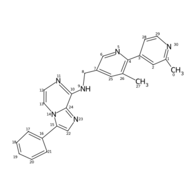 Cc1cc(-c2ncc(CNc3nccn4c(-c5ccccc5)cnc34)cc2C)ccn1